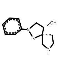 O[C@H]1CN(c2ccccc2)S[C@@]12CCNC2